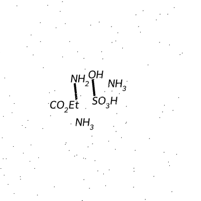 CCOC(N)=O.N.N.O=S(=O)(O)O